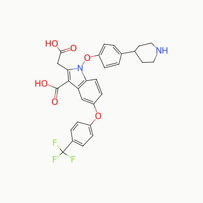 O=C(O)Cc1c(C(=O)O)c2cc(Oc3ccc(C(F)(F)F)cc3)ccc2n1Oc1ccc(C2CCNCC2)cc1